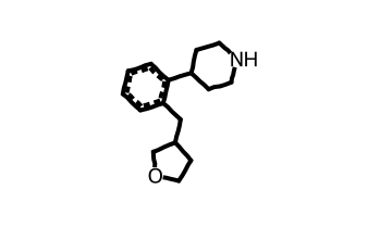 c1ccc(C2CCNCC2)c(CC2CCOC2)c1